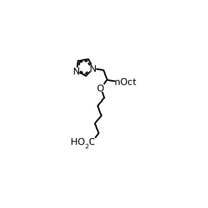 CCCCCCCCC(Cn1ccnc1)OCCCCCC(=O)O